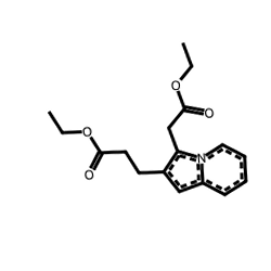 CCOC(=O)CCc1cc2ccccn2c1CC(=O)OCC